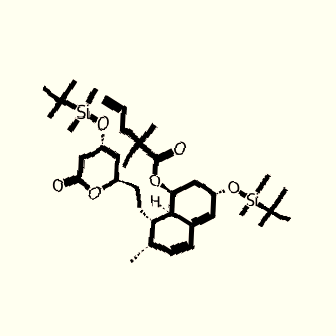 C=CCC(C)(C)C(=O)O[C@H]1C[C@H](O[Si](C)(C)C(C)(C)C)C=C2C=C[C@H](C)[C@H](CC[C@@H]3C[C@@H](O[Si](C)(C)C(C)(C)C)CC(=O)O3)[C@H]21